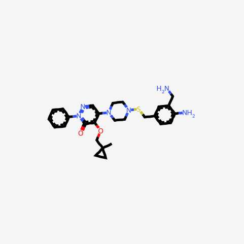 CC1(COc2c(N3CCN(SCc4ccc(N)c(CN)c4)CC3)cnn(-c3ccccc3)c2=O)CC1